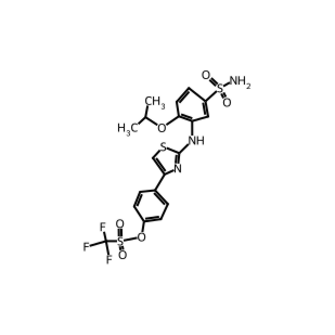 CC(C)Oc1ccc(S(N)(=O)=O)cc1Nc1nc(-c2ccc(OS(=O)(=O)C(F)(F)F)cc2)cs1